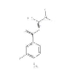 C/C(=N\C(=O)c1ccc(C)c(I)c1)N(C)C